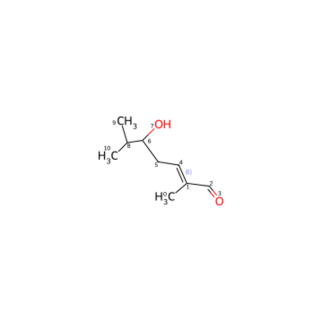 C/C(C=O)=C\CC(O)C(C)C